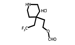 Cl.O=COCCC1(CC(F)(F)F)CCNCC1